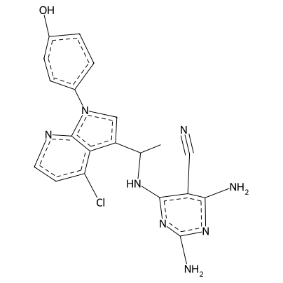 CC(Nc1nc(N)nc(N)c1C#N)c1cn(-c2ccc(O)cc2)c2nccc(Cl)c12